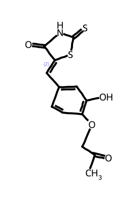 CC(=O)COc1ccc(/C=C2\SC(=S)NC2=O)cc1O